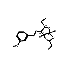 CC[C@H]1O[C@@H]2OC(CF)O[C@@H]2[C@H]1OCc1cccc(OC)c1